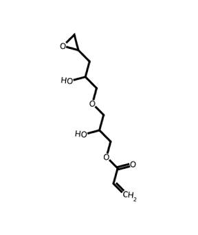 C=CC(=O)OCC(O)COCC(O)CC1CO1